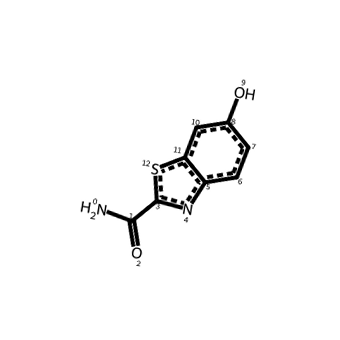 NC(=O)c1nc2ccc(O)cc2s1